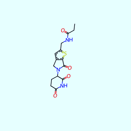 CCC(=O)NCc1cc2c(s1)C(=O)N(C1CCC(=O)NC1=O)C2